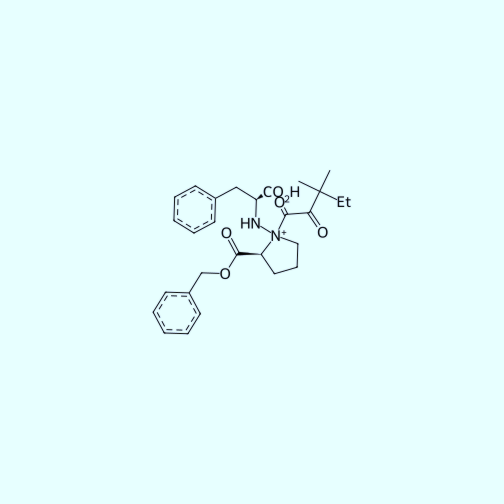 CCC(C)(C)C(=O)C(=O)[N+]1(N[C@@H](Cc2ccccc2)C(=O)O)CCC[C@H]1C(=O)OCc1ccccc1